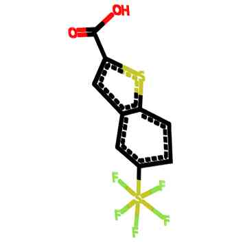 O=C(O)c1cc2cc(S(F)(F)(F)(F)F)ccc2s1